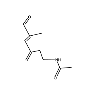 C=C(/C=C(\C)C=O)CCNC(C)=O